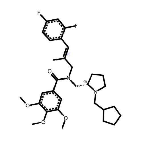 COc1cc(C(=O)N(C/C(C)=C/c2ccc(F)cc2F)C[C@@H]2CCCN2CC2CCCC2)cc(OC)c1OC